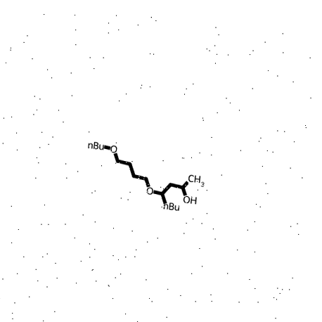 CCCCOCCCCOC(CCCC)CC(C)O